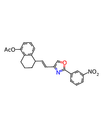 CC(=O)Oc1cccc2c1CCCC2C=Cc1coc(-c2cccc([N+](=O)[O-])c2)n1